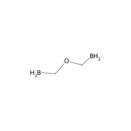 BCOCB